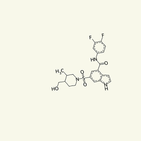 CC1CN(S(=O)(=O)c2cc(C(=O)Nc3ccc(F)c(F)c3)c3cc[nH]c3c2)CCC1CO